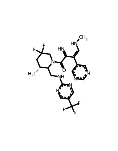 CN/C=C(\C(=N)C(=O)N1CC(F)(F)C[C@@H](C)C1CNc1ncc(C(F)(F)F)cn1)c1cncnc1